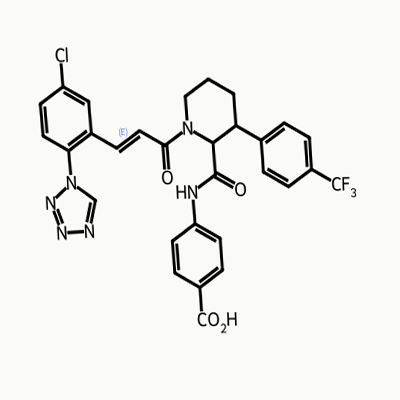 O=C(O)c1ccc(NC(=O)C2C(c3ccc(C(F)(F)F)cc3)CCCN2C(=O)/C=C/c2cc(Cl)ccc2-n2cnnn2)cc1